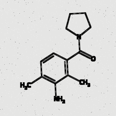 Cc1ccc(C(=O)N2CCCC2)c(C)c1N